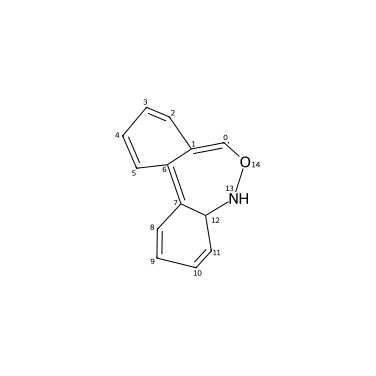 [C]1=c2ccccc2=C2C=CC=CC2NO1